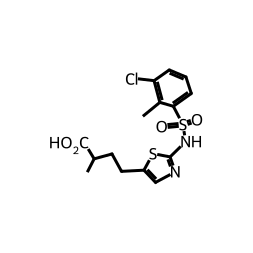 Cc1c(Cl)cccc1S(=O)(=O)Nc1ncc(CCC(C)C(=O)O)s1